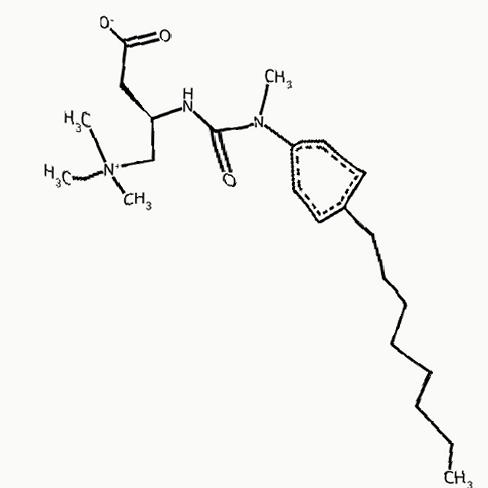 CCCCCCCCc1ccc(N(C)C(=O)N[C@H](CC(=O)[O-])C[N+](C)(C)C)cc1